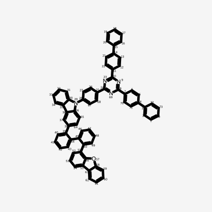 c1ccc(-c2ccc(-c3nc(-c4ccc(-c5ccccc5)cc4)nc(-c4ccc(-n5c6ccccc6c6cc(-c7ccccc7-c7ccccc7-c7cccc8c7oc7ccccc78)ccc65)cc4)n3)cc2)cc1